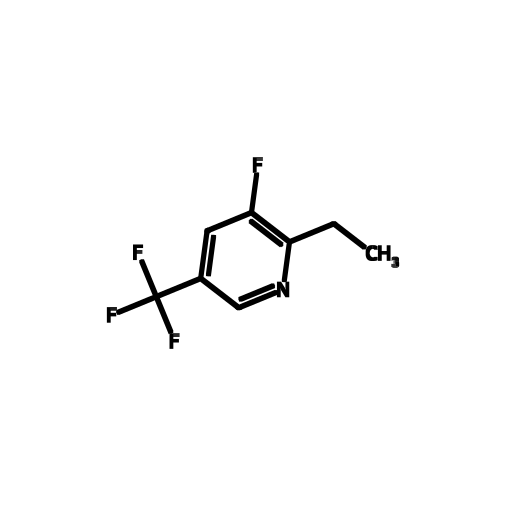 CCc1ncc(C(F)(F)F)cc1F